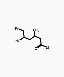 CCC(=O)CC(C)CC(C#N)CC(C)C